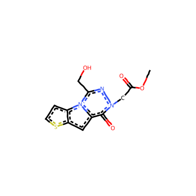 COC(=O)Cn1nc(CO)n2c(cc3sccc32)c1=O